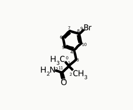 CC(C)(Cc1cccc(Br)c1)C(N)=O